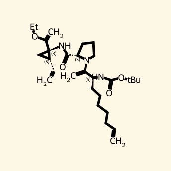 C=CCCCCC[C@H](NC(=O)OC(C)(C)C)C(=C)N1CCC[C@H]1C(=O)N[C@]1(C(=C)OCC)C[C@H]1C=C